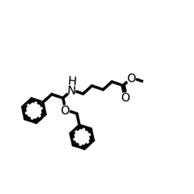 COC(=O)CCCCNC(Cc1ccccc1)OCc1ccccc1